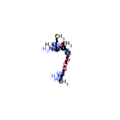 C=N/C(NCCCCC)=C1\C(=N/CN)C=CN1Cc1ccc(CN2CCN(CCOCCOCCOCCN/C=C(\N)CNC)CC2)cc1OC